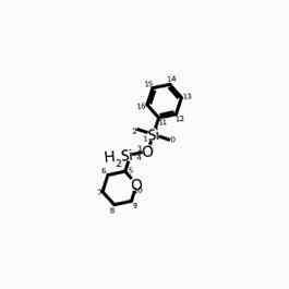 C[Si](C)(O[SiH2]C1CCCCO1)c1ccccc1